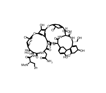 CN[C@H](CC(C)C)C(=O)N[C@H]1C(=O)NC(CC(N)=O)C(=O)N[C@H]2C(=S)N[C@H]3C(=O)N[C@H](C(=O)N[C@H](CO)C4=CC(O)CC(O)=C4C4CC3=CC=C4O)[C@H](O)C3=CC=C(Oc4cc2cc(c4O)OC2=C(Cl)C=C(CC2)[C@H]1O)C(Cl)C3